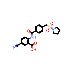 N#Cc1ccc(NC(=O)c2ccc(CS(=O)(=O)N3CCCC3)cc2)c(C(=O)O)c1